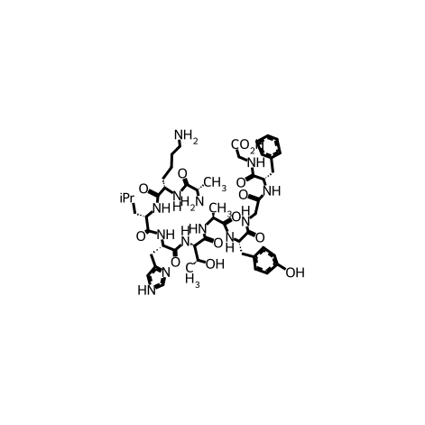 CC(C)C[C@H](NC(=O)[C@H](CCCCN)NC(=O)[C@H](C)N)C(=O)N[C@@H](Cc1c[nH]cn1)C(=O)N[C@H](C(=O)N[C@@H](C)C(=O)N[C@@H](Cc1ccc(O)cc1)C(=O)NCC(=O)N[C@@H](Cc1ccccc1)C(=O)NCC(=O)O)[C@@H](C)O